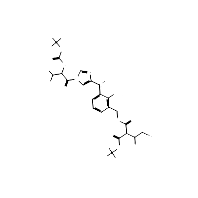 Cc1c(COC(=O)C(C(=O)OC(C)(C)C)C(C)CN)cccc1[C@H](C)c1cn(C(=O)C(NC(=O)OC(C)(C)C)C(C)C)cn1